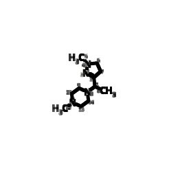 CC(C1=NN(C)CC1)N1CCN(C)CC1